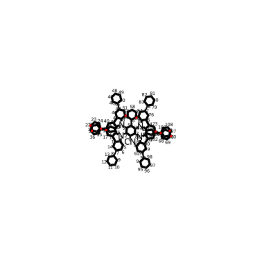 N#Cc1c(-n2c3ccc(-c4ccccc4)cc3c3cc(-c4ccccc4)ccc32)c(-n2c3ccc(-c4ccccc4)cc3c3cc(-c4ccccc4)ccc32)c(-c2ccccc2)c(-n2c3ccc(-c4ccccc4)cc3c3cc(-c4ccccc4)ccc32)c1-n1c2ccc(-c3ccccc3)cc2c2cc(-c3ccccc3)ccc21